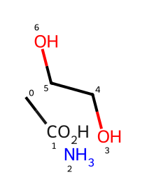 CC(=O)O.N.OCCO